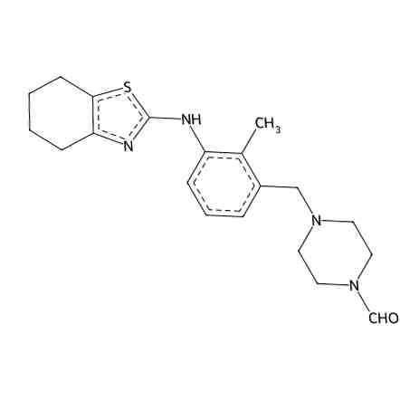 Cc1c(CN2CCN(C=O)CC2)cccc1Nc1nc2c(s1)CCCC2